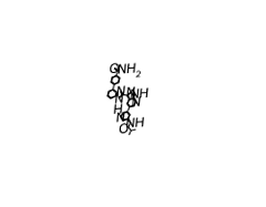 CC(C)C(=O)Nc1cncc(-c2cnc3[nH]nc(-c4nc5c(-c6ccc(C(N)=O)cc6)cccc5[nH]4)c3c2)c1